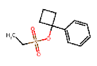 CCS(=O)(=O)OC1(c2ccccc2)CCC1